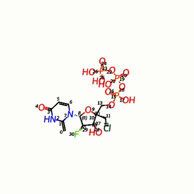 C=C1NC(=O)C=CN1[C@@H]1O[C@](CCl)(COP(=O)(O)OP(=O)(O)OP(=O)(O)O)[C@@H](O)[C@H]1F